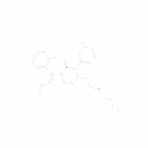 CCOC(=O)CSc1nc2sc(C(C)C)c(-c3ccccc3F)c2c(=O)n1-c1cccc(F)c1